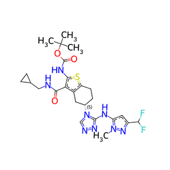 Cn1nc(C(F)F)cc1Nc1nncn1[C@H]1CCc2sc(NC(=O)OC(C)(C)C)c(C(=O)NCC3CC3)c2C1